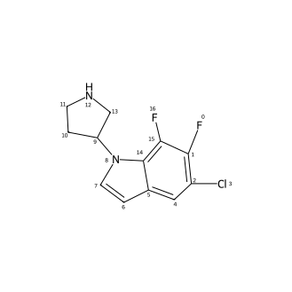 Fc1c(Cl)cc2ccn(C3CCNC3)c2c1F